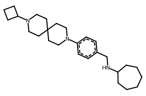 c1cc(N2CCC3(CC2)CCN(C2CCC2)CC3)ccc1CNC1CCCCCC1